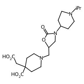 CC(C)N1CCC(N2CC(CN3CCC(CC(=O)O)(C(=O)O)CC3)OC2=O)CC1